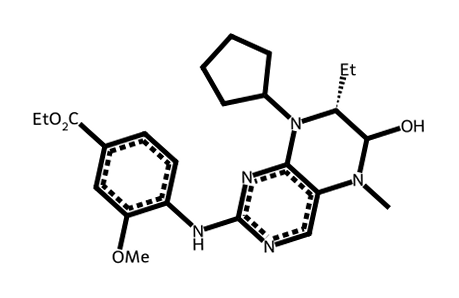 CCOC(=O)c1ccc(Nc2ncc3c(n2)N(C2CCCC2)[C@H](CC)C(O)N3C)c(OC)c1